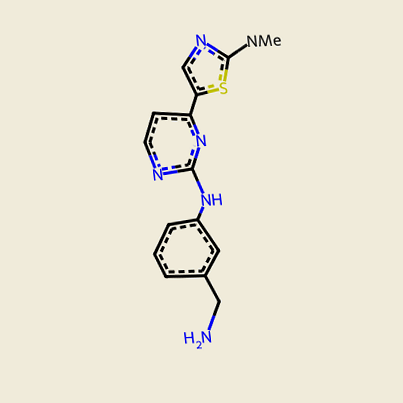 CNc1ncc(-c2ccnc(Nc3cccc(CN)c3)n2)s1